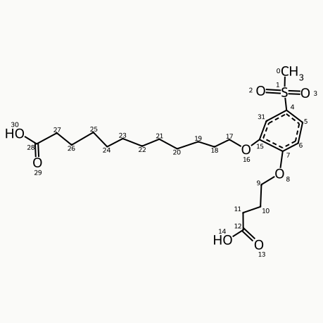 CS(=O)(=O)c1ccc(OCCCC(=O)O)c(OCCCCCCCCCCCC(=O)O)c1